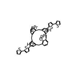 CCCOc1c2cccc1Cc1cc(-c3ccc(-c4cccs4)s3)cc(c1O)Cc1cccc(c1OCCC)Cc1cc(-c3ccc(-c4cccs4)s3)cc(c1O)C2